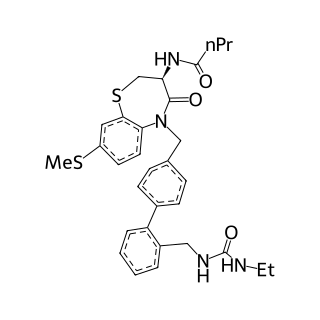 CCCC(=O)N[C@@H]1CSc2cc(SC)ccc2N(Cc2ccc(-c3ccccc3CNC(=O)NCC)cc2)C1=O